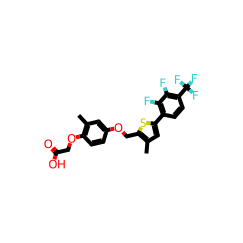 Cc1cc(OCc2sc(-c3ccc(C(F)(F)F)c(F)c3F)cc2C)ccc1OCC(=O)O